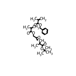 C=C(C)C(=O)OC(C)(C)C.C=C(C)C(=O)OCC1CO1.C=C(C)C(=O)OCc1ccccc1